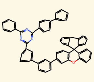 c1ccc(-c2ccc(-c3nc(-c4ccccc4)nc(-c4cccc(-c5cccc(-c6ccc7c(c6)Oc6ccccc6C76c7ccccc7-c7ccccc76)c5)c4)n3)cc2)cc1